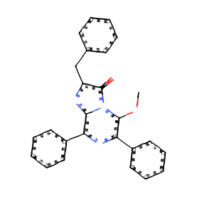 COc1c(-c2ccccc2)[nH]c(-c2ccccc2)c2nc(Cc3ccccc3)c(=O)n1-2